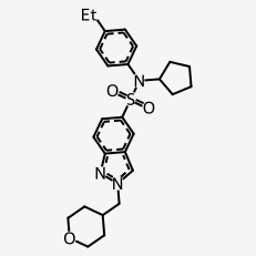 CCc1ccc(N(C2CCCC2)S(=O)(=O)c2ccc3nn(CC4CCOCC4)cc3c2)cc1